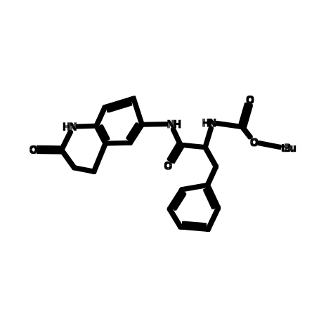 CC(C)(C)OC(=O)NC(Cc1ccccc1)C(=O)Nc1ccc2c(c1)CCC(=O)N2